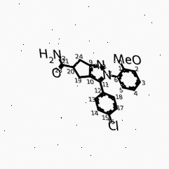 COc1ccccc1-n1nc2c(c1-c1ccc(Cl)cc1)CC(C(N)=O)C2